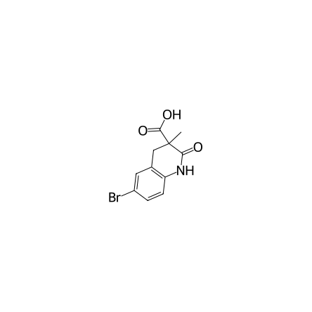 CC1(C(=O)O)Cc2cc(Br)ccc2NC1=O